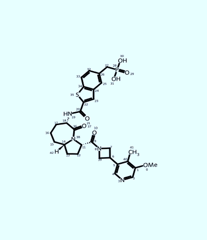 COc1cncc(C2CN(C(=O)[C@@H]3CC[C@@H]4CCC[C@H](NC(=O)c5cc6cc(CP(=O)(O)O)ccc6s5)C(=O)N43)C2)c1C